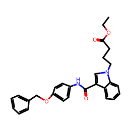 CCOC(=O)CCCn1cc(C(=O)Nc2ccc(OCc3ccccc3)cc2)c2ccccc21